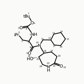 CC(C)CC(NC(=O)OC(C)(C)C)C(=O)N(CC1CCCCC1)C1CCC(=O)NC[C@@H]1O